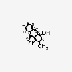 Cc1cc(O)c2sc3ccccc3c(=O)c2c1Cl